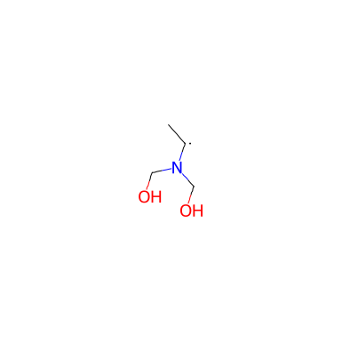 C[CH]N(CO)CO